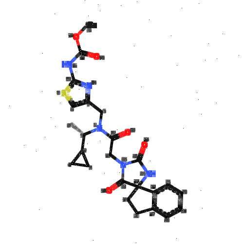 C[C@@H](C1CC1)N(Cc1csc(NC(=O)OC(C)(C)C)n1)C(=O)CN1C(=O)NC2(CCc3ccccc32)C1=O